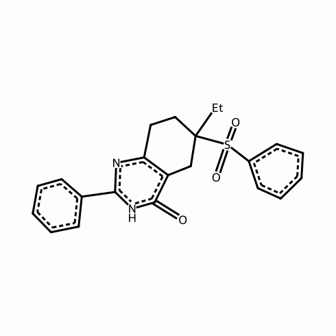 CCC1(S(=O)(=O)c2ccccc2)CCc2nc(-c3ccccc3)[nH]c(=O)c2C1